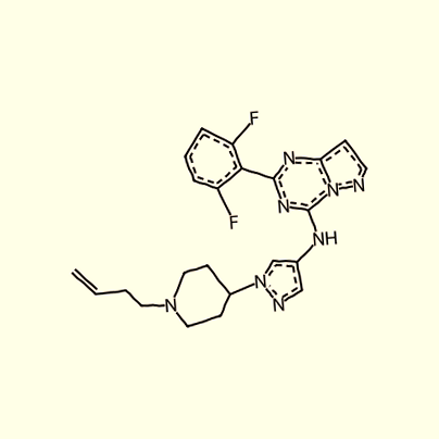 C=CCCN1CCC(n2cc(Nc3nc(-c4c(F)cccc4F)nc4ccnn34)cn2)CC1